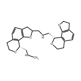 CNC[C@@H]1OCCc2ccc3c(c21)OC(CNC[C@H]1OCCc2ccc4c(c21)OCC4)C3